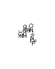 Cc1cc(C)c(CNC(=O)c2c(C)n(CC34CC3(N(C)CC(F)(F)F)C4)c3ccccc23)c(=O)[nH]1